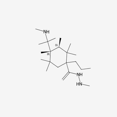 C=C(NNC)C1(CCC)CC(C)(C)[C@](C)(C(C)(C)NC)[C@@H](C)C1(C)C